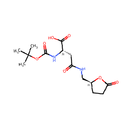 CC(C)(C)OC(=O)N[C@@H](CC(=O)NC[C@@H]1CCC(=O)O1)C(=O)O